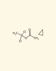 C1CC1.CC(=O)O[Si](C)(Cl)Cl